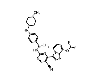 C[C@H](Nc1ncc(C#N)c(-c2cnc3c(OC(F)F)cccn23)n1)c1ccc(NC2CCN(C)CC2)cc1